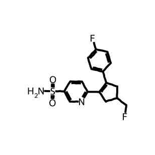 NS(=O)(=O)c1ccc(C2=C(c3ccc(F)cc3)CC(CF)C2)nc1